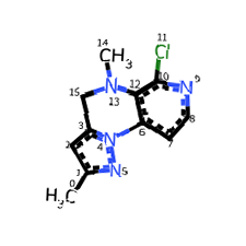 Cc1cc2n(n1)-c1ccnc(Cl)c1N(C)C2